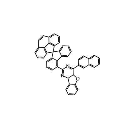 c1ccc2c(c1)OC1C(c3ccc4ccccc4c3)=NC(c3cccc4c3-c3ccccc3C43c4cccc5ccc6cccc3c6c45)=NC21